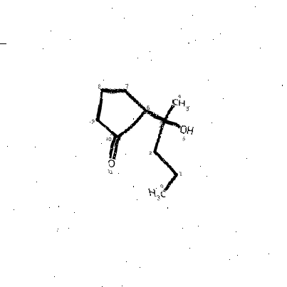 CCCC(C)(O)C1CCCC1=O